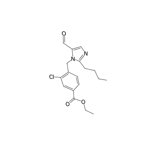 CCCCc1ncc(C=O)n1Cc1ccc(C(=O)OCC)cc1Cl